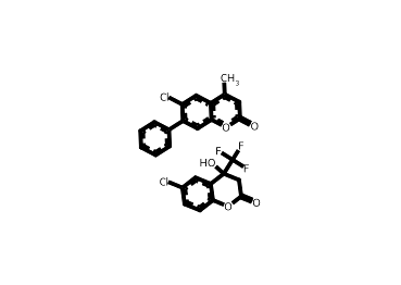 Cc1cc(=O)oc2cc(-c3ccccc3)c(Cl)cc12.O=C1CC(O)(C(F)(F)F)c2cc(Cl)ccc2O1